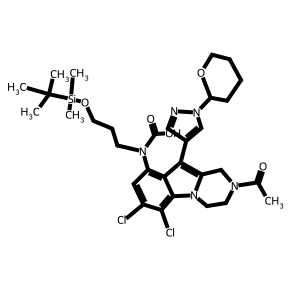 CC(=O)N1CCn2c(c(-c3cnn(C4CCCCO4)c3)c3c(N(CCCO[Si](C)(C)C(C)(C)C)C(=O)O)cc(Cl)c(Cl)c32)C1